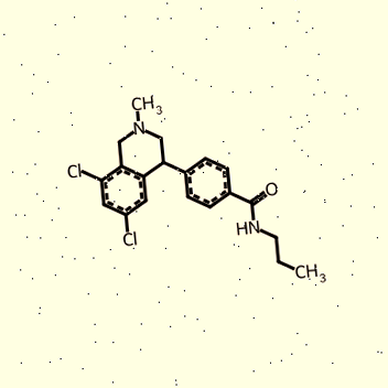 CCCNC(=O)c1ccc(C2CN(C)Cc3c(Cl)cc(Cl)cc32)cc1